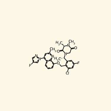 Cc1cc(-n2cc(F)cn2)c2cccc(OCc3c(Cl)cc(F)cc3[C@H](C)N3CC(=O)N(C)[C@H](C)C3=O)c2n1